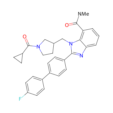 CNC(=O)c1cccc2nc(-c3ccc(-c4ccc(F)cc4)cc3)n(CC3CCN(C(=O)C4CC4)C3)c12